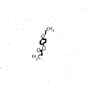 C=CC(=O)Oc1ccc(OCCC)cc1